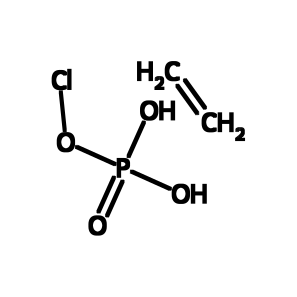 C=C.O=P(O)(O)OCl